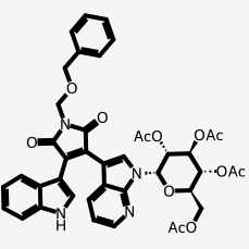 CC(=O)OC[C@H]1O[C@H](n2cc(C3=C(c4c[nH]c5ccccc45)C(=O)N(COCc4ccccc4)C3=O)c3cccnc32)[C@H](OC(C)=O)[C@@H](OC(C)=O)[C@@H]1OC(C)=O